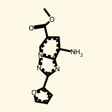 COC(=O)c1cc(N)c2nc(-c3ccco3)nn2c1